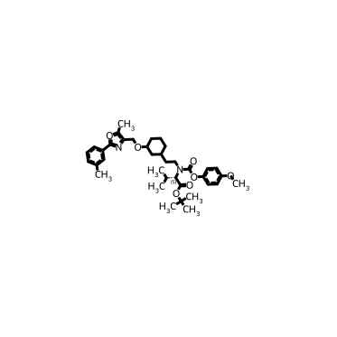 COc1ccc(OC(=O)N(CCC2CCCC(OCc3nc(-c4cccc(C)c4)oc3C)C2)[C@H](C(=O)OC(C)(C)C)C(C)C)cc1